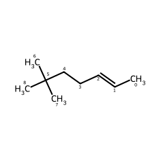 C/C=C/CCC(C)(C)C